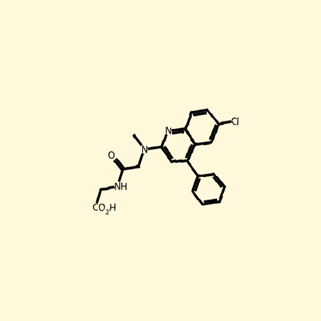 CN(CC(=O)NCC(=O)O)c1cc(-c2ccccc2)c2cc(Cl)ccc2n1